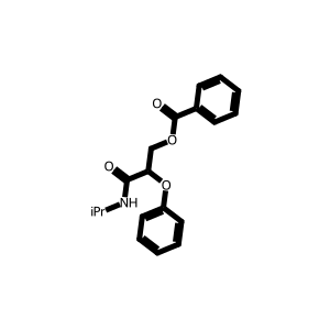 CC(C)NC(=O)C(COC(=O)c1ccccc1)Oc1ccccc1